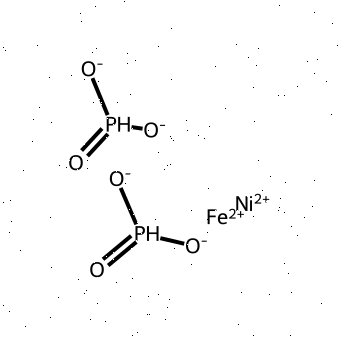 O=[PH]([O-])[O-].O=[PH]([O-])[O-].[Fe+2].[Ni+2]